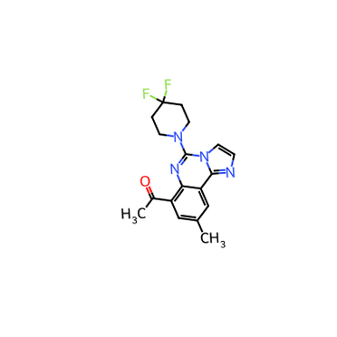 CC(=O)c1cc(C)cc2c1nc(N1CCC(F)(F)CC1)n1ccnc21